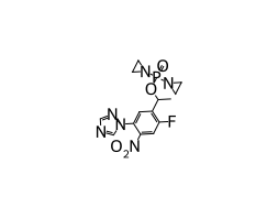 CC(OP(=O)(N1CC1)N1CC1)c1cc(-n2cncn2)c([N+](=O)[O-])cc1F